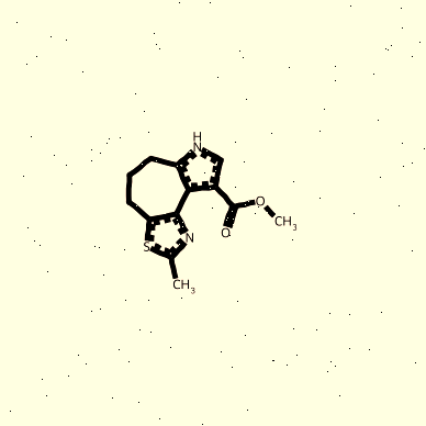 COC(=O)c1c[nH]c2c1-c1nc(C)sc1CCC2